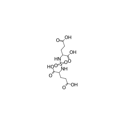 O=C(O)CCC(NS(=O)(=O)NC(CCC(=O)O)C(=O)O)C(=O)O